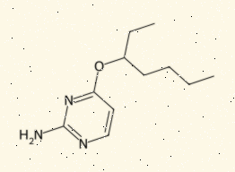 CCCCC(CC)Oc1ccnc(N)n1